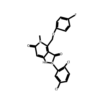 Cn1c(COc2ccc(F)cc2)c2c(=O)n(-c3cc(Cl)ccc3Cl)[nH]c2cc1=O